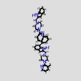 Cc1cccnc1N1CCN(Cc2cc3cccc(-c4cccc5nc(N6CCN(Cc7cc8ccccc8[nH]7)CC6)ccc45)c3[nH]2)CC1